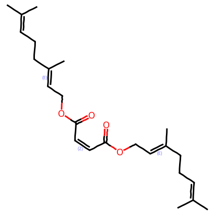 CC(C)=CCC/C(C)=C/COC(=O)/C=C\C(=O)OC/C=C(\C)CCC=C(C)C